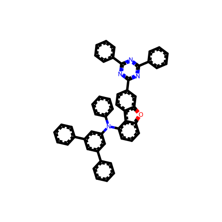 c1ccc(-c2cc(-c3ccccc3)cc(N(c3ccccc3)c3cccc4oc5cc(-c6nc(-c7ccccc7)nc(-c7ccccc7)n6)ccc5c34)c2)cc1